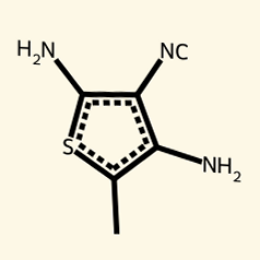 [C-]#[N+]c1c(N)sc(C)c1N